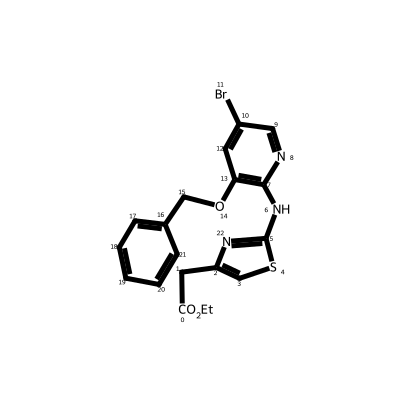 CCOC(=O)Cc1csc(Nc2ncc(Br)cc2OCc2ccccc2)n1